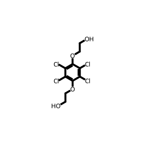 OCCOc1c(Cl)c(Cl)c(OCCO)c(Cl)c1Cl